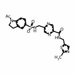 CC(=O)N1CCc2cc(S(=O)(=O)NCc3cnc(C(=O)NCc4cnc(C)s4)cn3)ccc21